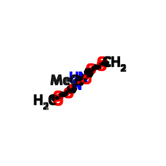 C=CC(=O)OCCCCOc1ccc(/C=N/c2ccc(NC(=O)c3ccc(OCCCCOC(=O)C=C)cc3)cc2OC)cc1